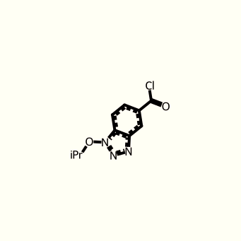 CC(C)On1nnc2cc(C(=O)Cl)ccc21